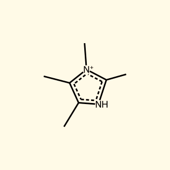 Cc1[nH]c(C)[n+](C)c1C